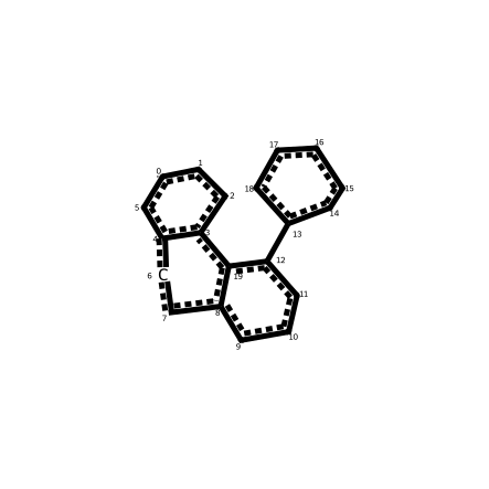 [c]1ccc2c(c1)ccc1cccc(-c3ccccc3)c12